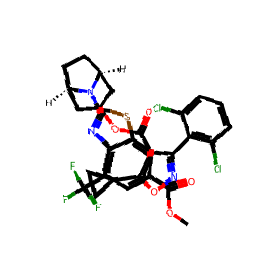 COC(=O)c1cc(C(F)(F)F)c2nc(N3[C@@H]4CC[C@H]3CC(OC(=O)c3c(-c5c(Cl)cccc5Cl)noc3C3CC3)C4)sc2c1